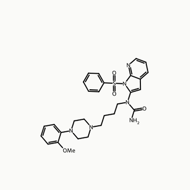 COc1ccccc1N1CCN(CCCCN(C(N)=O)c2cc3cccnc3n2S(=O)(=O)c2ccccc2)CC1